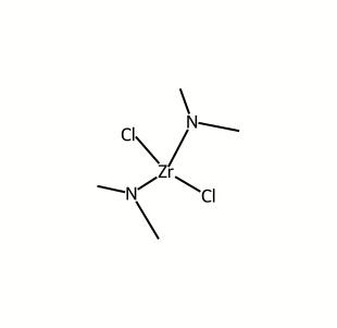 C[N](C)[Zr]([Cl])([Cl])[N](C)C